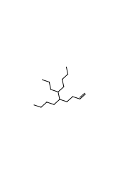 C=CCCC(CCCC)C(CCC)CCCC